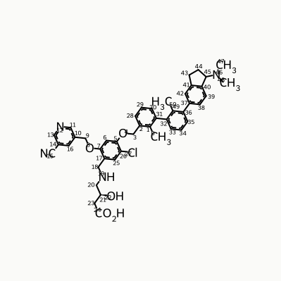 Cc1c(COc2cc(OCc3cncc(C#N)c3)c(CNC[C@@H](O)CC(=O)O)cc2Cl)cccc1-c1cccc(-c2ccc3c(c2)CCC3N(C)C)c1C